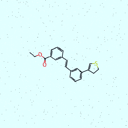 CCOC(=O)c1cccc(/C=C/c2cccc(C3=CSCC3)c2)c1